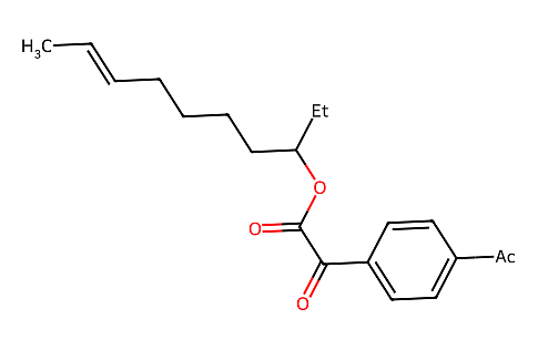 CC=CCCCCC(CC)OC(=O)C(=O)c1ccc(C(C)=O)cc1